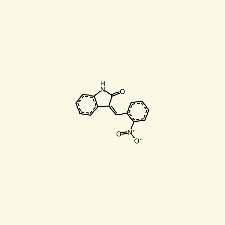 O=C1Nc2ccccc2/C1=C/c1ccccc1[N+](=O)[O-]